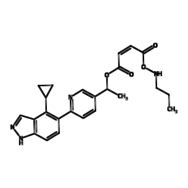 CCCNOC(=O)/C=C\C(=O)OC(C)c1ccc(-c2ccc3[nH]ncc3c2C2CC2)nc1